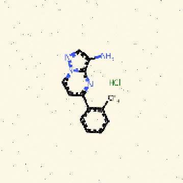 Cl.Nc1cnn2ccc(-c3ccccc3C(F)(F)F)nc12